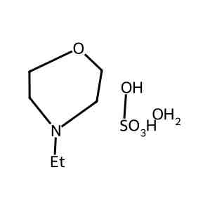 CCN1CCOCC1.O.O=S(=O)(O)O